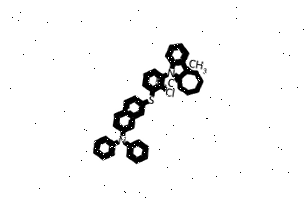 CC12CCCCCC1(C)N(c1cccc(Sc3ccc4ccc(N(c5ccccc5)c5ccccc5)cc4c3)c1Cl)c1ccccc12